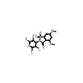 COc1cc(OC)c2c(c1)S(=O)(=O)N(c1c(F)c(F)nc(F)c1F)C2=O